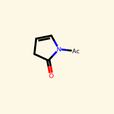 CC(=O)N1C=CCC1=O